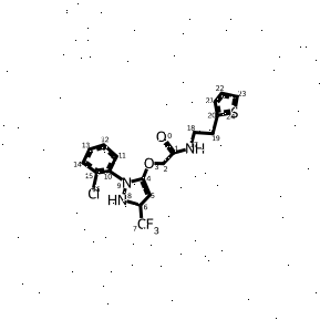 O=C(COC1=CC(C(F)(F)F)NN1c1ccccc1Cl)NCCc1cccs1